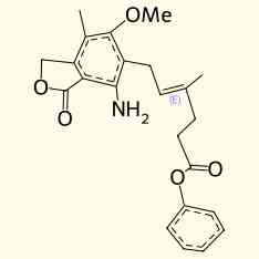 COc1c(C)c2c(c(N)c1C/C=C(\C)CCC(=O)Oc1ccccc1)C(=O)OC2